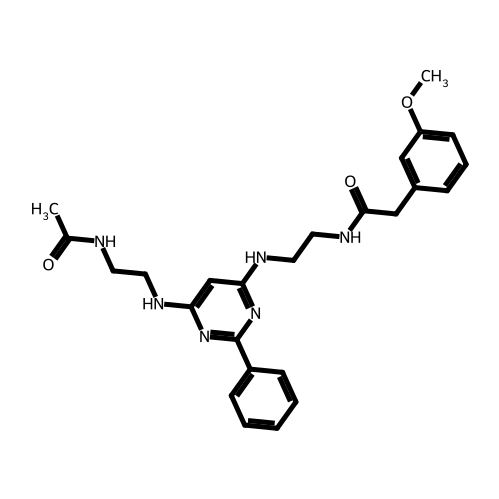 COc1cccc(CC(=O)NCCNc2cc(NCCNC(C)=O)nc(-c3ccccc3)n2)c1